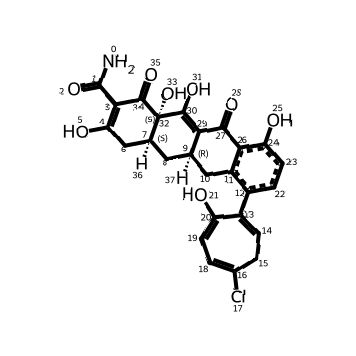 NC(=O)C1=C(O)C[C@@H]2C[C@@H]3Cc4c(C5=CCC(Cl)=CC=C5O)ccc(O)c4C(=O)C3=C(O)[C@]2(O)C1=O